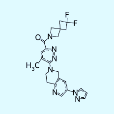 Cc1cc(C(=O)N2CC3(C2)CC(F)(F)C3)nnc1N1CCc2ncc(-n3cccn3)cc2C1